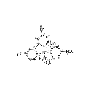 N[N+]1(c2c([N+](=O)[O-])cc([N+](=O)[O-])cc2[N+](=O)[O-])c2ccc(Br)cc2-c2cc(Br)ccc21